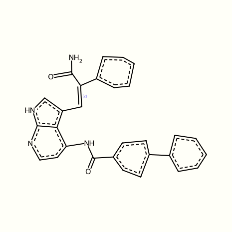 NC(=O)/C(=C\c1c[nH]c2nccc(NC(=O)c3ccc(-c4ccccc4)cc3)c12)c1ccccc1